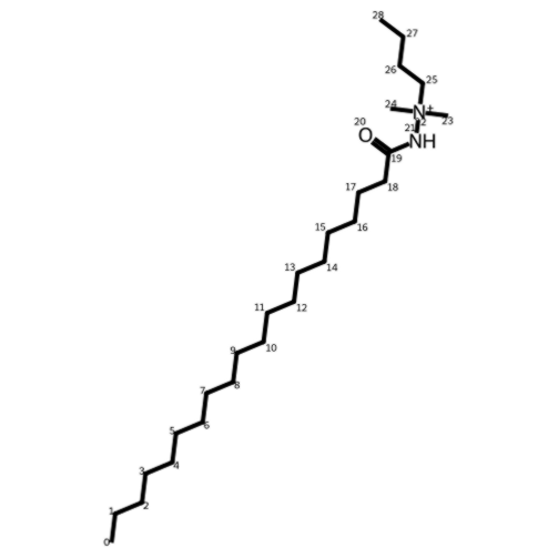 CCCCCCCCCCCCCCCCCCCC(=O)N[N+](C)(C)CCCC